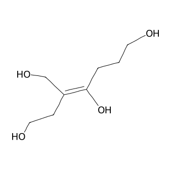 OCCCC(O)=C(CO)CCO